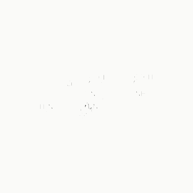 CC(=O)[O-].CC(=O)[O-].NCCCC[C@H](N)C(=O)O.NCCCC[C@H](N)C(=O)O.[Zn+2]